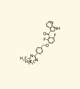 C/N=C(\N=C(C)C)c1ccc(COc2ccc(F)c(C(=O)c3c[nH]c4ncccc34)c2F)cc1